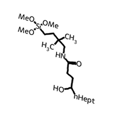 CCCCCCCC(O)CCC(=O)NCC(C)(C)CC[Si](OC)(OC)OC